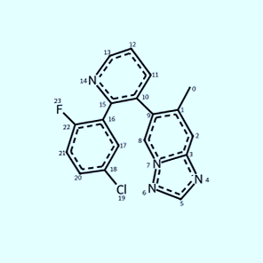 Cc1cc2ncnn2cc1-c1cccnc1-c1cc(Cl)ccc1F